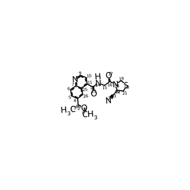 CO[C@H](C)c1ccc2nccc(C(=O)NCC(=O)N3CSC[C@H]3C#N)c2c1